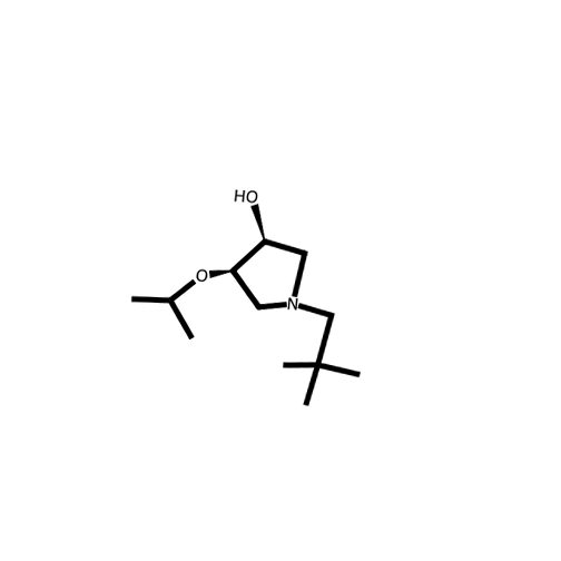 CC(C)O[C@@H]1CN(CC(C)(C)C)C[C@@H]1O